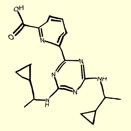 CC(Nc1nc(NC(C)C2CC2)nc(-c2cccc(C(=O)O)n2)n1)C1CC1